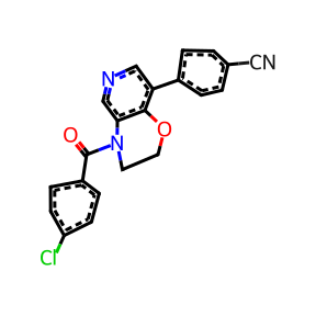 N#Cc1ccc(-c2cncc3c2OCCN3C(=O)c2ccc(Cl)cc2)cc1